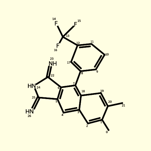 Cc1cc2cc3c(c(-c4cccc(C(F)(F)F)c4)c2cc1C)C(=N)NC3=N